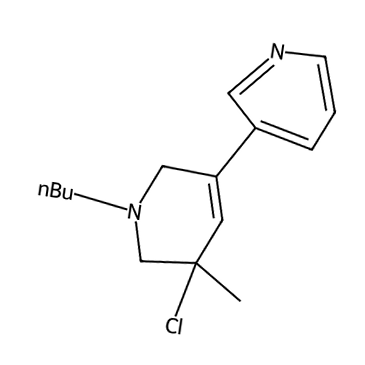 CCCCN1CC(c2cccnc2)=CC(C)(Cl)C1